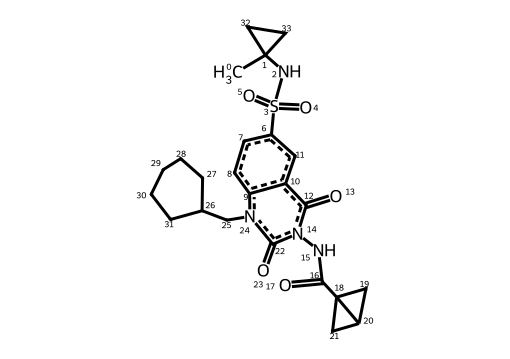 CC1(NS(=O)(=O)c2ccc3c(c2)c(=O)n(NC(=O)C24CC2C4)c(=O)n3CC2CCCCC2)CC1